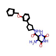 Nc1c(C(=O)NC2CCC(c3cccc(OCc4ccccc4)c3)C2)[nH]c(=O)[nH]c1=O